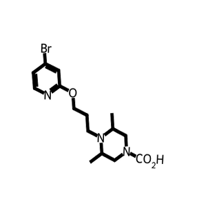 CC1CN(C(=O)O)CC(C)N1CCCOc1cc(Br)ccn1